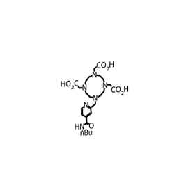 CCCCNC(=O)c1ccnc(CN2CCN(CC(=O)O)CCN(CC(=O)O)CCN(CC(=O)O)CC2)c1